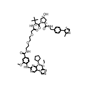 CC[C@@H]1c2nncn2-c2cnc(Nc3ccc(C(=O)NCCOCCOCC(=O)N[C@H](C(=O)N4C[C@H](O)C[C@H]4C(=O)NCc4ccc(-c5scnc5C)cc4)C(C)(C)C)cc3OC)nc2N1C1CCCC1